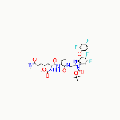 COC(O)N[C@@H](CC/C=C/C(=O)N(C)C)C(=O)Nc1cccn(Cc2nc3c(Oc4ccc(F)cc4F)c(F)c(F)cc3n2C(=O)OC(C)(C)C)c1=O